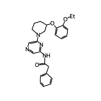 CCOc1ccccc1OC1CCCN(c2cncc(NC(=O)Cc3ccccc3)n2)C1